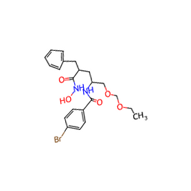 CCOCOCC(CC(Cc1ccccc1)C(=O)NO)NC(=O)c1ccc(Br)cc1